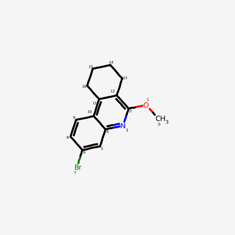 COc1nc2cc(Br)ccc2c2c1CCCC2